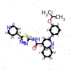 CC(C)Oc1cccc(-c2cc(C(=O)Nc3nnc(-c4ccncc4)s3)c3ccccc3n2)c1